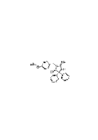 CCCCOc1ccc(CN2C(=N)NC(c3ccccc3)(c3ccccc3)C2=O)cc1